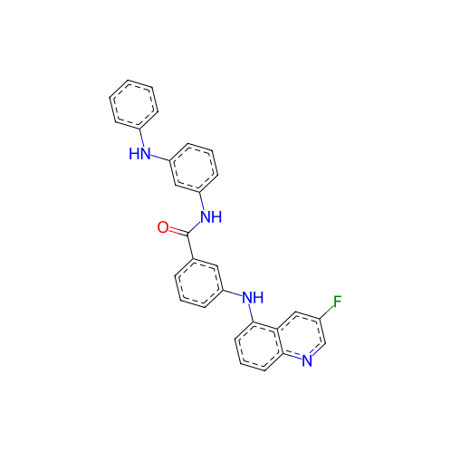 O=C(Nc1cccc(Nc2ccccc2)c1)c1cccc(Nc2cccc3ncc(F)cc23)c1